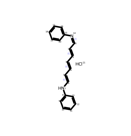 C(/C=C/C=C/C=C/Nc1ccccc1)=N/c1ccccc1.Cl